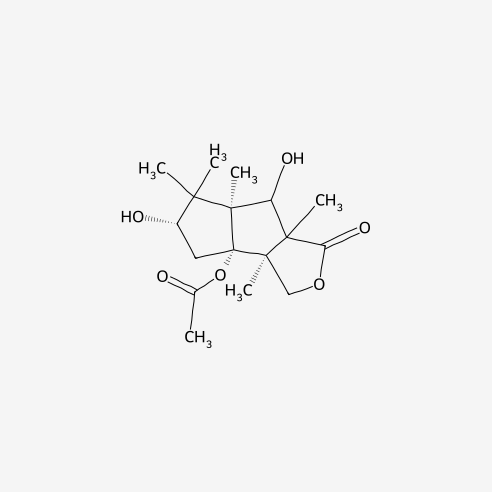 CC(=O)O[C@]12C[C@H](O)C(C)(C)[C@@]1(C)C(O)C1(C)C(=O)OC[C@]12C